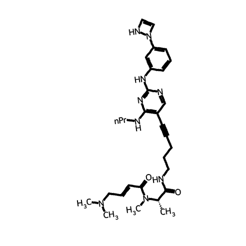 CCCNc1nc(Nc2cccc(-n3cc[nH]3)c2)ncc1C#CCCCNC(=O)[C@H](C)N(C)C(=O)/C=C/CN(C)C